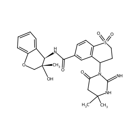 CC1(C)CC(=O)N(C2CCS(=O)(=O)c3ccc(C(=O)N[C@@H]4c5ccccc5OC[C@@]4(C)O)cc32)C(=N)N1